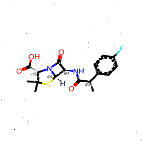 C[C@@H](C(=O)N[C@@H]1C(=O)N2[C@@H]1SC(C)(C)[C@@H]2C(=O)O)c1ccc(F)cc1